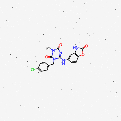 CC(C)n1c(=O)nc(Nc2ccc3oc(=O)[nH]c3c2)n(Cc2ccc(Cl)cc2)c1=O